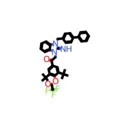 CC(C)(C)c1cc(C(=O)Cn2c(=N)n(Cc3ccc(-c4ccccc4)cc3)c3ccccc32)cc(C(C)(C)C)c1OC(=O)C(F)(F)F